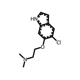 CN(C)CCOc1cc2[nH]ccc2cc1Cl